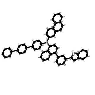 c1ccc(-c2ccc(-c3ccc(N(c4ccc5c(ccc6ccccc65)c4)c4ccc(-c5cccc(-c6cc7ccccc7o6)c5)c5ccccc45)cc3)cc2)cc1